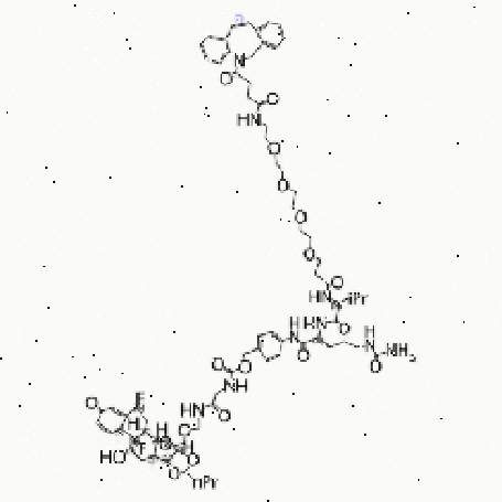 CCCC1O[C@@H]2C[C@H]3[C@@H]4C[C@H](F)C5=CC(=O)C=C[C@]5(C)[C@@]4(F)[C@@H](O)C[C@]3(C)[C@]2(C(=O)COCNC(=O)CNC(=O)OCc2ccc(NC(=O)[C@H](CCCNC(N)=O)NC(=O)[C@@H](NC(=O)CCOCCOCCOCCOCCNC(=O)CCC(=O)N3Cc4ccccc4/C=C\c4ccccc43)C(C)C)cc2)O1